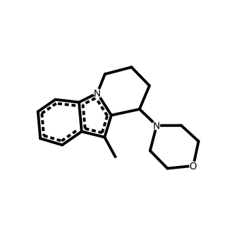 Cc1c2n(c3ccccc13)CCCC2N1CCOCC1